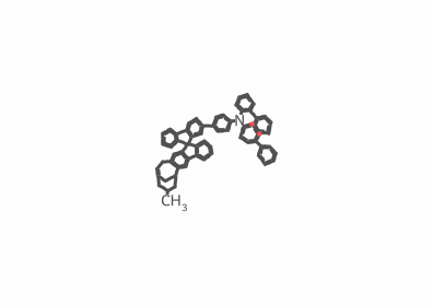 CC1CC2=CCc3cc4c(cc3C(C2)C1)-c1ccccc1C41c2ccccc2-c2ccc(-c3ccc(N(c4ccc(-c5ccccc5)cc4)c4ccccc4-c4ccccc4)cc3)cc21